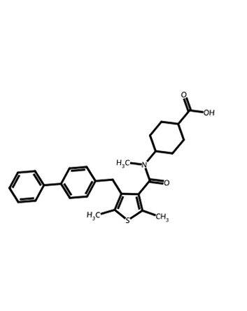 Cc1sc(C)c(C(=O)N(C)C2CCC(C(=O)O)CC2)c1Cc1ccc(-c2ccccc2)cc1